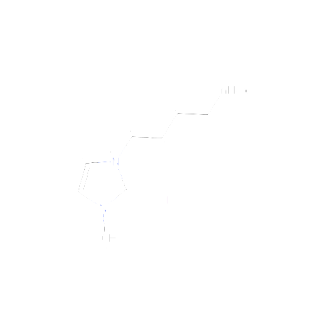 CCCCCCCCCCN1C=CN(C)C1.I